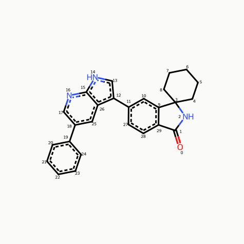 O=C1NC2(CCCCC2)c2cc(-c3c[nH]c4ncc(-c5ccccc5)cc34)ccc21